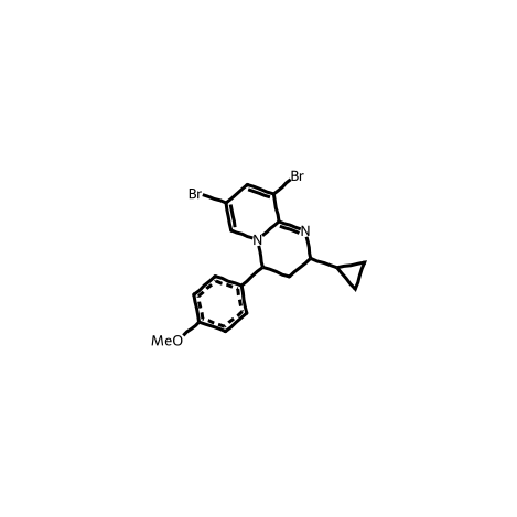 COc1ccc(C2CC(C3CC3)N=C3C(Br)=CC(Br)=CN32)cc1